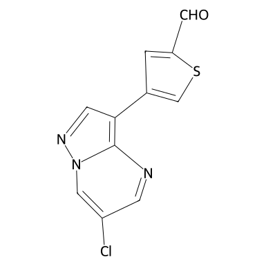 O=Cc1cc(-c2cnn3cc(Cl)cnc23)cs1